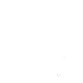 COC(=O)c1ccc2c(c1)C(c1c(C)cc(C)cc1C)=CCC2